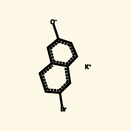 [K+].[O-]c1ccc2cc(Br)ccc2c1